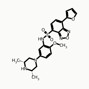 COc1ccc(N2C[C@@H](C)N[C@@H](C)C2)cc1NS(=O)(=O)c1ccc(-c2ccco2)c2nonc12